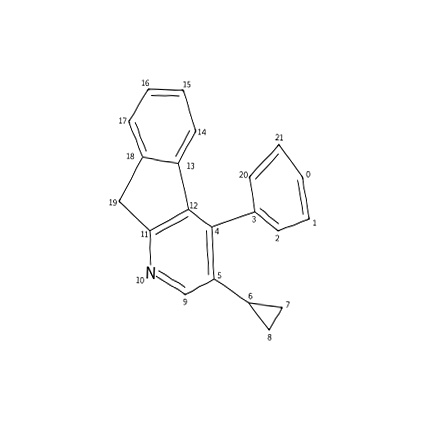 c1ccc(-c2c(C3CC3)cnc3c2-c2ccccc2C3)cc1